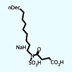 CCCCCCCCCCCCCCCCCCN(C(=O)CCC(=O)O)S(=O)(=O)O.[NaH]